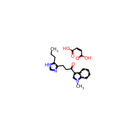 CCCc1[nH]cnc1CCC(=O)c1cn(C)c2ccccc12.O=C(O)/C=C\C(=O)O